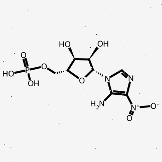 Nc1c([N+](=O)[O-])ncn1[C@@H]1O[C@H](COP(=O)(O)O)[C@@H](O)[C@H]1O